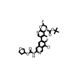 Cc1c(-c2cc3cc(NC(=O)OC4CCOC4)ncc3c(Cl)c2F)cnc2c1N(C(=O)OC(C)(C)C)CC(F)O2